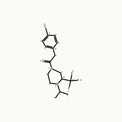 CC(C)N1CCN(C(=O)Cc2ccc(F)cc2)CC1C(F)(F)F